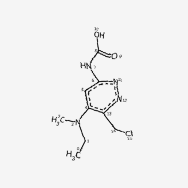 CCN(C)c1cc(NC(=O)O)nnc1CCl